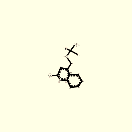 CC(F)(F)OCc1cc(C(F)(F)F)nc2ccccc12